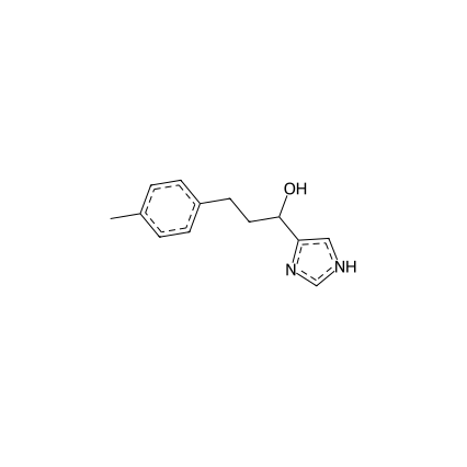 Cc1ccc(CCC(O)c2c[nH]cn2)cc1